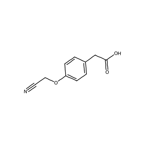 N#CCOc1ccc(CC(=O)O)cc1